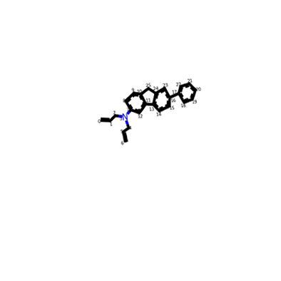 C=CCN(CC=C)c1ccc2c(c1)-c1ccc(-c3ccccc3)cc1C2